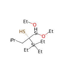 CCO[SiH](OCC)[C@](S)(CC(C)C)[Si](CC)(CC)CC